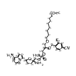 CCCCCCCCCCCCCCCCCCOC[C@H](COP(=O)(O)OC[C@]1(N)CC[C@H](c2ccc3c(N)ncnn23)O1)OCc1ccc(C#N)cc1F